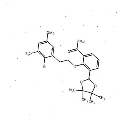 COC(=O)c1cccc(B2OC(C)(C)C(C)(C)O2)c1OCCc1cc(OC)cc(C)c1Br